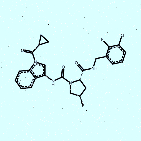 O=C(NCc1cccc(Cl)c1F)[C@@H]1C[C@@H](F)CN1C(=O)Nc1cn(C(=O)C2CC2)c2ccccc12